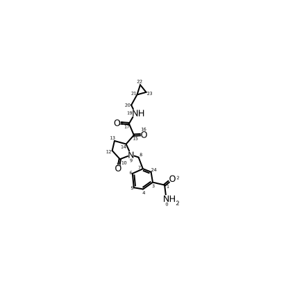 NC(=O)c1cccc(CN2C(=O)CCC2C(=O)C(=O)NCC2CC2)c1